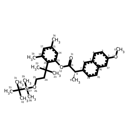 COc1ccc2cc([C@H](C)C(=O)Oc3cc(C)cc(C)c3C(C)(C)CCO[Si](C)(C)C(C)(C)C)ccc2c1